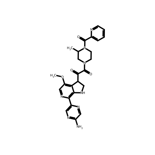 COc1cnc(-c2cnc(N)cn2)c2c1C(C(=O)C(=O)N1CCN(C(=O)c3ccccn3)C(C)C1)CN2